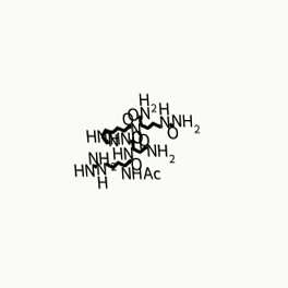 CC(=O)NC(CCCNC(=N)N)C(=O)NC(CC(N)=O)C(=O)NC(Cc1c[nH]cn1)C(=O)NC(CCCNC(N)=O)C(N)=O